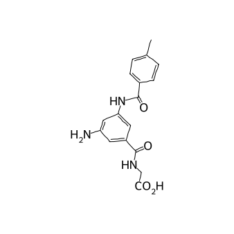 Cc1ccc(C(=O)Nc2cc(N)cc(C(=O)NCC(=O)O)c2)cc1